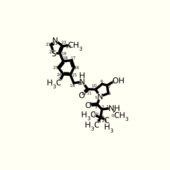 CNC(C(=O)N1CC(O)CC1C(=O)NCc1ccc(-c2scnc2C)cc1C)C(C)(C)C